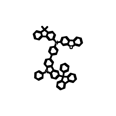 CC1(C)c2ccccc2-c2cc(N(c3ccc(-c4ccc5c(c4)c4cc(C6(c7ccccc7)c7ccccc7-c7ccccc76)ccc4n5-c4ccccc4)cc3)c3ccc4c(c3)oc3ccccc34)ccc21